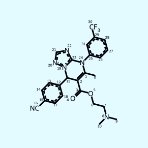 CC1=C(C(=O)OCCN(C)C)C(c2ccc(C#N)cc2)n2ncnc2N1c1cccc(C(F)(F)F)c1